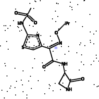 CC(C)O/N=C(/C(=O)NC1CNC1=O)c1csc(NS(C)(=O)=O)n1